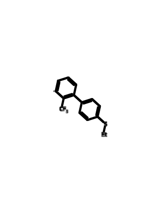 CCSc1ccc(-c2ccc[c]c2C(F)(F)F)cc1